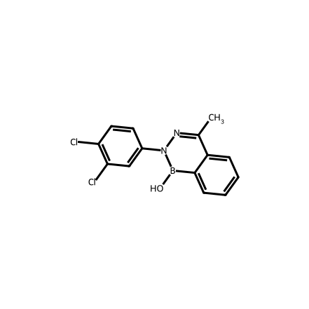 CC1=NN(c2ccc(Cl)c(Cl)c2)B(O)c2ccccc21